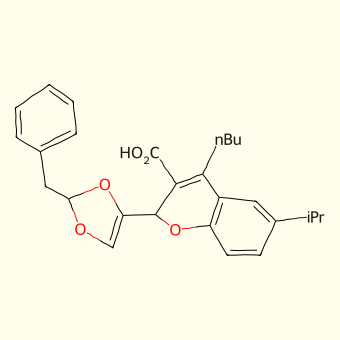 CCCCC1=C(C(=O)O)C(C2=COC(Cc3ccccc3)O2)Oc2ccc(C(C)C)cc21